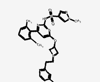 Cc1cccc(C)c1-c1cc(OC2CN(CCc3cccc(Cl)c3)C2)nc(NS(=O)(=O)c2cnn(C)c2)n1